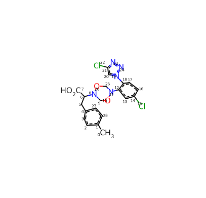 Cc1ccc(CC(C(=O)O)N2CON(c3cc(Cl)ccc3-n3cc(Cl)nn3)CO2)cc1